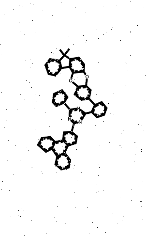 CC1(C)c2ccccc2-c2c1ccc1c2Oc2ccc(-c3ccccc3-c3nc(-c4ccccc4)nc(-c4ccc5c6ccccc6c6ccccc6c5c4)n3)cc2O1